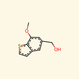 COc1cc(CO)cc2ccsc12